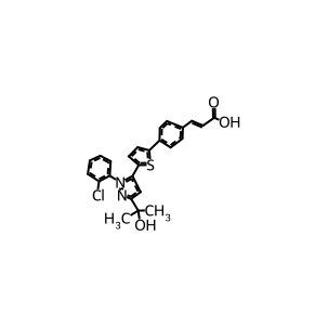 CC(C)(O)c1cc(-c2ccc(-c3ccc(C=CC(=O)O)cc3)s2)n(-c2ccccc2Cl)n1